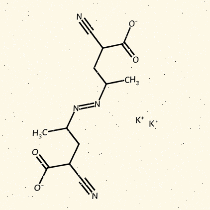 CC(CC(C#N)C(=O)[O-])/N=N/C(C)CC(C#N)C(=O)[O-].[K+].[K+]